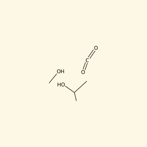 CC(C)O.CO.O=C=O